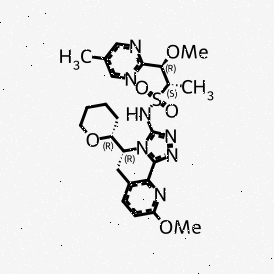 COc1ccc2c(n1)-c1nnc(NS(=O)(=O)[C@@H](C)[C@H](OC)c3ncc(C)cn3)n1[C@@H]([C@H]1CCCCO1)C2